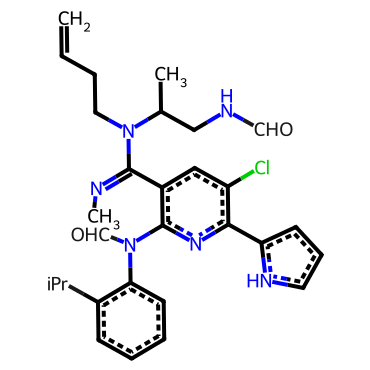 C=CCCN(/C(=N/C)c1cc(Cl)c(-c2ccc[nH]2)nc1N(C=O)c1ccccc1C(C)C)C(C)CNC=O